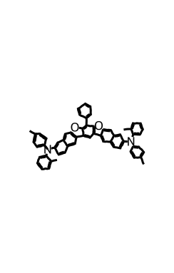 Cc1ccc(N(c2ccc3cc4c(cc3c2)oc2c(-c3ccccc3)c3oc5cc6cc(N(c7ccc(C)cc7)c7ccccc7C)ccc6cc5c3cc24)c2ccccc2C)cc1